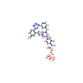 COP(=O)(CCOC(=O)Nc1ccc(NC[C@H](Cc2ccccc2)NC(=O)/C=C/c2cc(Cl)ccc2-n2cnnn2)cc1F)OC